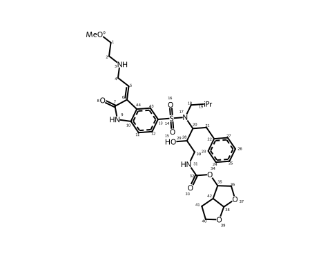 COCCNCC=C1C(=O)Nc2ccc(S(=O)(=O)N(CC(C)C)C(Cc3ccccc3)C(O)CNC(=O)OC3COC4OCCC34)cc21